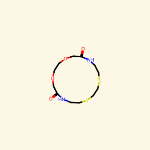 O=C1COCCOCC(=O)NCCSCCSCCN1